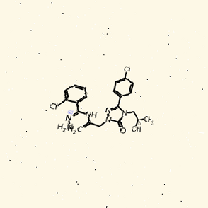 C=C(Cn1nc(-c2ccc(Cl)cc2)n(C[C@H](O)C(F)(F)F)c1=O)N/C(=N\N)c1ccccc1Cl